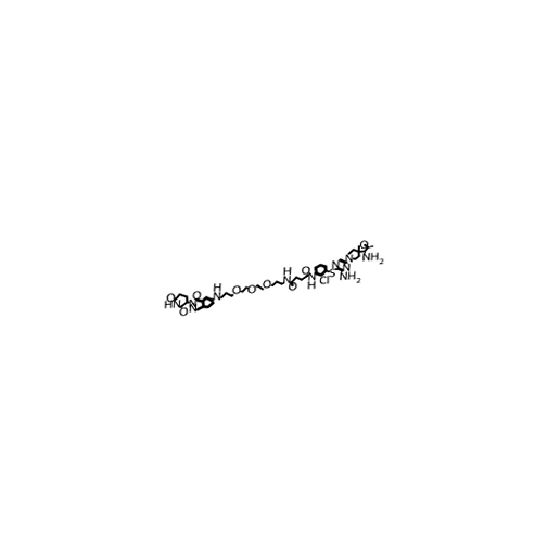 C[C@@H]1OCC2(CCN(c3cnc(Sc4cccc(NC(=O)CCC(=O)NCCCOCCOCCOCCCNc5ccc6cnn(C7CCC(=O)NC7=O)c(=O)c6c5)c4Cl)c(N)n3)CC2)[C@@H]1N